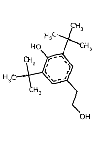 CC(C)(C)c1cc(CCO)cc(C(C)(C)C)c1O